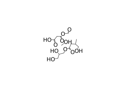 CC(CO)CC(=O)OCC(O)CO.CO.O=COC(=O)CC(=O)O